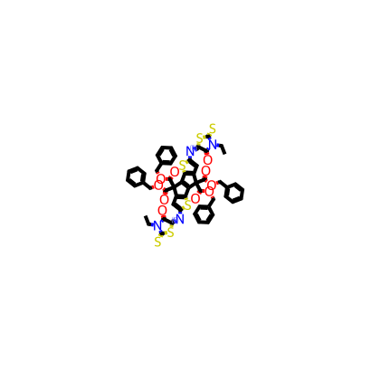 CCN1C(=O)/C(=N\c2cc3c(s2)C2=C(c4sc(/N=C5/SC(=S)N(CC)C5=O)cc4C2(C(=O)OCc2ccccc2)C(=O)OCc2ccccc2)C3(C(=O)OCc2ccccc2)C(=O)OCc2ccccc2)SC1=S